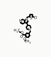 CCOC(=O)c1cc(CN2CCC(c3cn(Cc4ccc(Cl)s4)c4cnccc34)CC2)ccc1OC